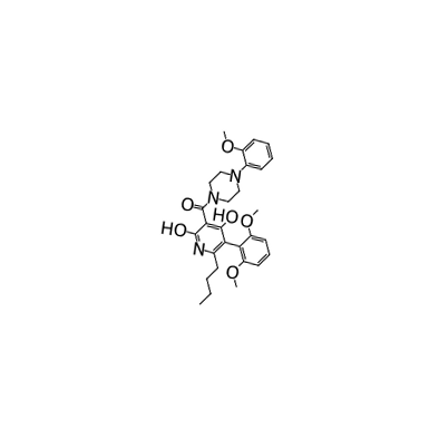 CCCCc1nc(O)c(C(=O)N2CCN(c3ccccc3OC)CC2)c(O)c1-c1c(OC)cccc1OC